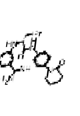 CC(C)C[C@@H](Nc1cccc(C(=N)N)c1)C(=O)Nc1ccc(N2CCCCC2=O)cc1